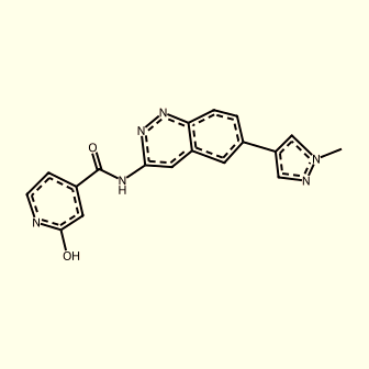 Cn1cc(-c2ccc3nnc(NC(=O)c4ccnc(O)c4)cc3c2)cn1